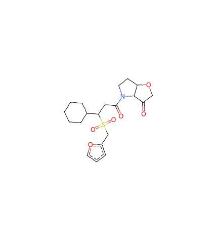 O=C1COC2CCN(C(=O)CC(C3CCCCC3)S(=O)(=O)Cc3ccco3)C12